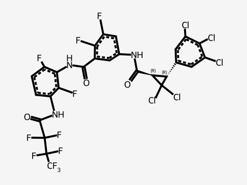 O=C(Nc1c(F)ccc(NC(=O)C(F)(F)C(F)(F)C(F)(F)F)c1F)c1cc(NC(=O)[C@H]2[C@H](c3cc(Cl)c(Cl)c(Cl)c3)C2(Cl)Cl)cc(F)c1F